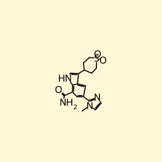 Cn1ccnc1-c1cc(C(N)=O)c2[nH]cc(C3CCS(=O)(=O)CC3)c2c1